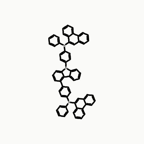 c1ccc(N(c2ccc(-c3cccc4c3c3ccccc3n4-c3ccc(N(c4ccccc4)c4cc5ccccc5c5ccccc45)cc3)cc2)c2cc3ccccc3c3ccccc23)cc1